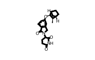 C[C@@H]1[C@H]2CC[C@H](C2)[C@@H]1Oc1ccc2c(c1)CN(C1CCC(=O)NC1=O)C2=O